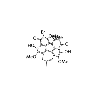 COc1c(O)c2c(=O)cc(OC)c3c4c(OC)c(Br)c(=O)c5c(O)c(OC)c6c(c(c1C=C(C)C6)c23)c54